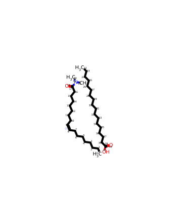 CCCCCCCC/C=C\CCCCCCCC(=O)N(C)C.CCCCCCCCCCCCCCCCCC(=O)O